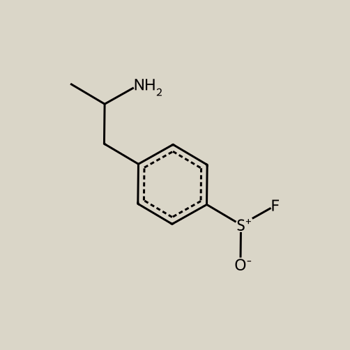 CC(N)Cc1ccc([S+]([O-])F)cc1